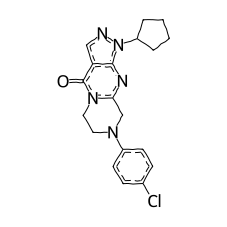 O=c1c2cnn(C3CCCC3)c2nc2n1CCN(c1ccc(Cl)cc1)C2